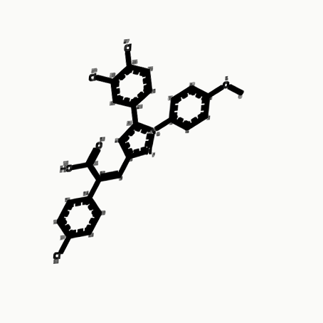 COc1ccc(-n2nc(C=C(C(=O)O)c3ccc(Cl)cc3)cc2-c2ccc(Cl)c(Cl)c2)cc1